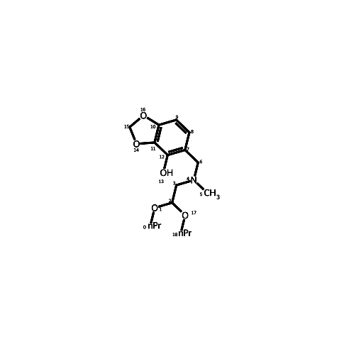 CCCOC(CN(C)Cc1ccc2c(c1O)OCO2)OCCC